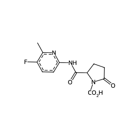 Cc1nc(NC(=O)C2CCC(=O)N2C(=O)O)ccc1F